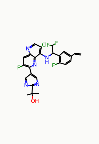 C=Cc1ccc(F)c(C(Nc2c(Cl)cnc3cc(F)c(-c4cnc(C(C)(C)O)nc4)nc23)C(F)F)c1